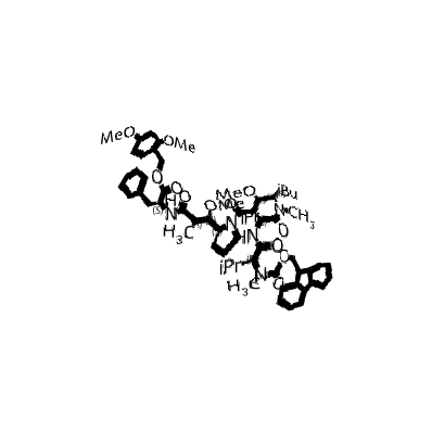 CC[C@H](C)[C@@H]([C@@H](CC(=O)N1CCC[C@H]1[C@H](OC)[C@@H](C)C(=O)N[C@@H](Cc1ccccc1)C(=O)OCc1ccc(OC)cc1OC)OC)N(C)C(=O)[C@@H](NC(=O)[C@H](C(C)C)N(C)C(=O)OCC1c2ccccc2-c2ccccc21)C(C)C